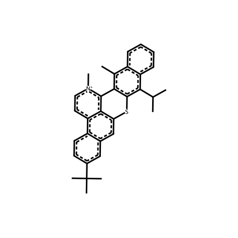 Cc1c2c(c(C(C)C)c3ccccc13)Sc1cc3cc(C(C)(C)C)ccc3c3cc[n+](C)c-2c13